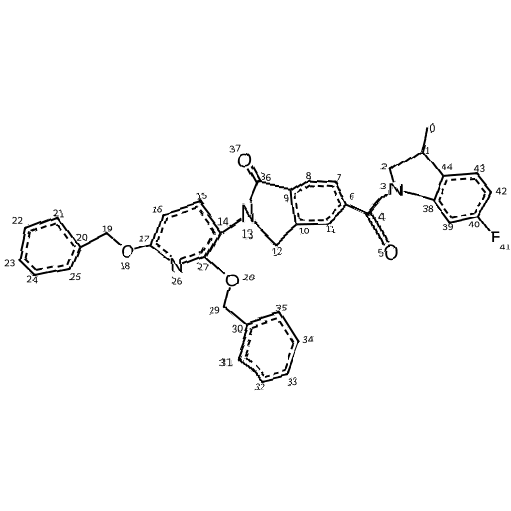 CC1CN(C(=O)c2ccc3c(c2)CN(c2ccc(OCc4ccccc4)nc2OCc2ccccc2)C3=O)c2cc(F)ccc21